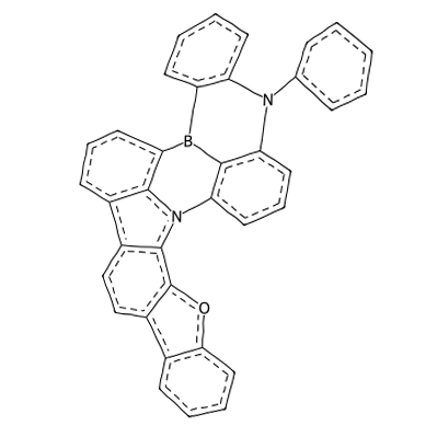 c1ccc(N2c3ccccc3B3c4c2cccc4-n2c4c3cccc4c3ccc4c5ccccc5oc4c32)cc1